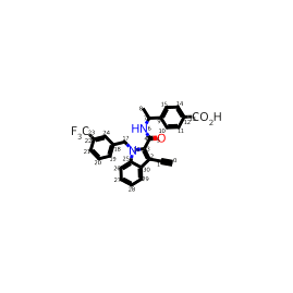 C#Cc1c(C(=O)NC(C)c2ccc(C(=O)O)cc2)n(Cc2cccc(C(F)(F)F)c2)c2ccccc12